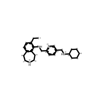 ICc1ccc2c(c1NCc1ccc(CNC3CCCCC3)cn1)CCNCC2